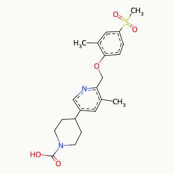 Cc1cc(S(C)(=O)=O)ccc1OCc1ncc(C2CCN(C(=O)O)CC2)cc1C